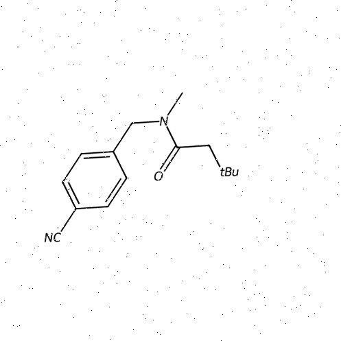 CN(Cc1ccc(C#N)cc1)C(=O)CC(C)(C)C